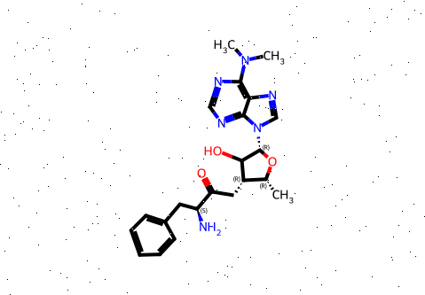 C[C@H]1O[C@@H](n2cnc3c(N(C)C)ncnc32)C(O)[C@H]1CC(=O)[C@@H](N)Cc1ccccc1